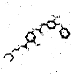 CCN(CC)CCNC(=O)c1ccc(NC(=O)Nc2ccc(Oc3ccccc3)c(NC)c2)cc1OC